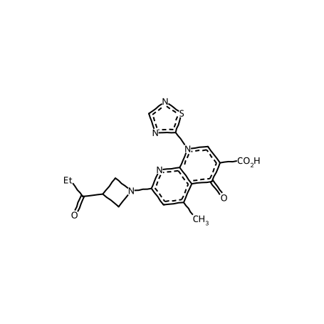 CCC(=O)C1CN(c2cc(C)c3c(=O)c(C(=O)O)cn(-c4ncns4)c3n2)C1